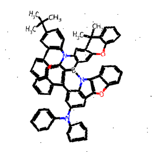 CC(C)(C)c1ccc(N2c3cc4c(cc3B3c5c2cc2ccccc2c5-c2cc(N(c5ccccc5)c5ccccc5)cc5c6oc7ccccc7c6n3c25)Oc2ccccc2C4(C)C)c(-c2ccccc2)c1